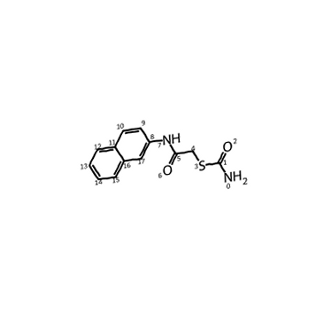 NC(=O)SCC(=O)Nc1ccc2ccccc2c1